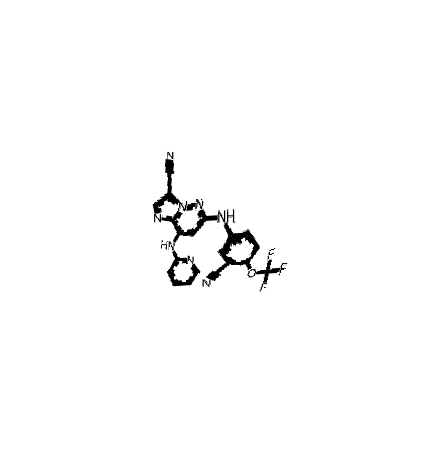 N#Cc1cc(Nc2cc(Nc3ccccn3)c3ncc(C#N)n3n2)ccc1OC(F)(F)F